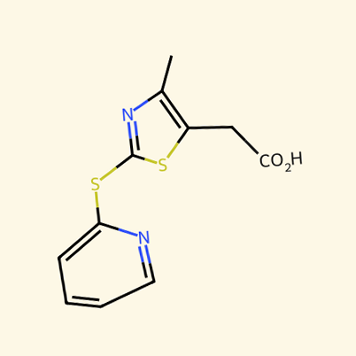 Cc1nc(Sc2ccccn2)sc1CC(=O)O